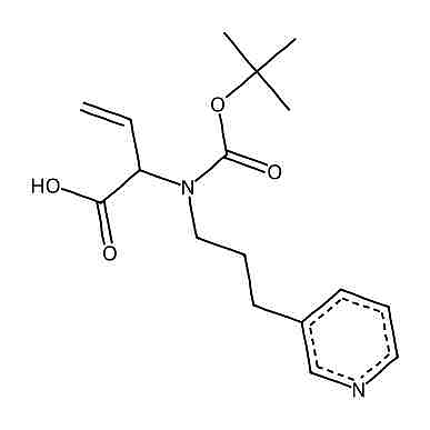 C=CC(C(=O)O)N(CCCc1cccnc1)C(=O)OC(C)(C)C